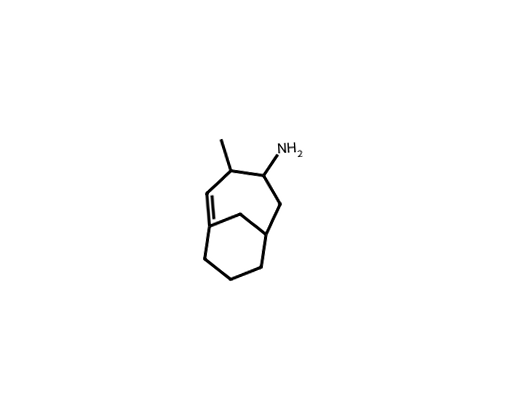 CC1C=C2CCCC(C2)CC1N